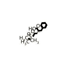 CC(C)(C)[S+]([O-])CC(=O)C[C@@H](Cc1ccccc1)C(=O)O